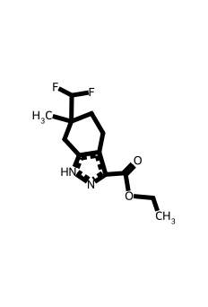 CCOC(=O)c1n[nH]c2c1CCC(C)(C(F)F)C2